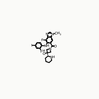 Cn1cnc2c(F)c(Nc3ccc(I)cc3F)c(C(=O)N3CC(O)([C@@H]4CCCCN4)C3)cc21